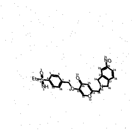 CCS(=N)(=O)c1ccc(COc2coc(CN3Cc4ccc(N=O)cc4C3)cc2=O)cc1